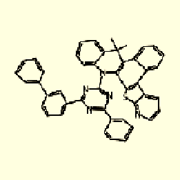 CC1(C)c2ccccc2N(c2nc(-c3ccccc3)nc(-c3cccc(-c4ccccc4)c3)n2)c2c1c1ccccc1c1c2sc2ncccc21